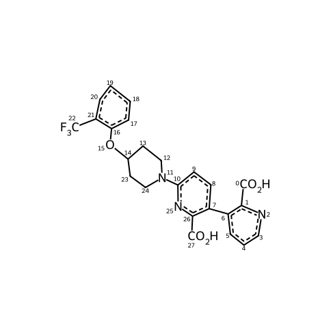 O=C(O)c1ncccc1-c1ccc(N2CCC(Oc3ccccc3C(F)(F)F)CC2)nc1C(=O)O